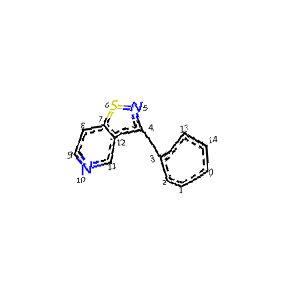 c1ccc(-c2nsc3ccncc23)cc1